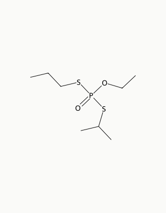 CCCSP(=O)(OCC)SC(C)C